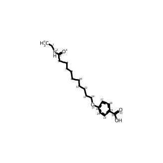 CCNC(=O)CCCCCCCCCCOc1ccc(C(=O)O)cc1